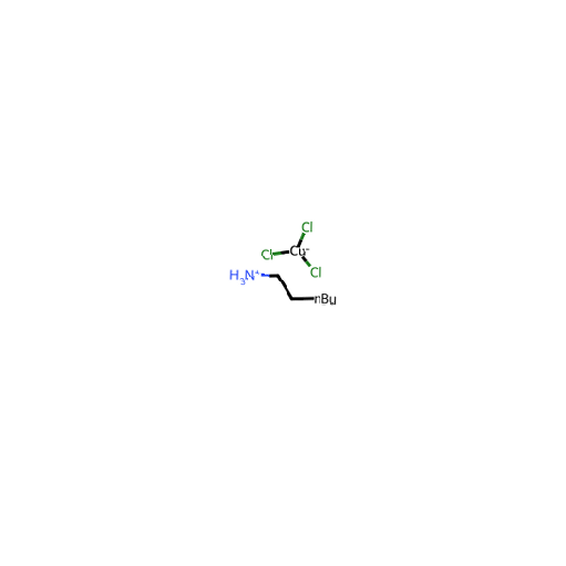 CCCCCC[NH3+].[Cl][Cu-]([Cl])[Cl]